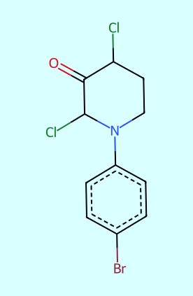 O=C1C(Cl)CCN(c2ccc(Br)cc2)C1Cl